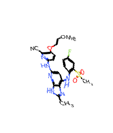 COCCOc1ccc(Nc2cc(Nc3ccc(F)cc3S(C)(=O)=O)c3nc(C)[nH]c3n2)nc1C#N